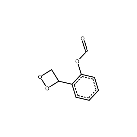 O=POc1ccccc1C1COO1